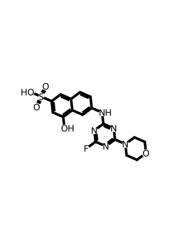 O=S(=O)(O)c1cc(O)c2cc(Nc3nc(F)nc(N4CCOCC4)n3)ccc2c1